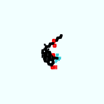 CCCCOC(=O)CC[C@@H](C)[C@H]1CC[C@H]2[C@@H]3CCC4C[C@H](O)CC(C(=O)C(F)(F)F)[C@]4(C)[C@H]3CC[C@]12C